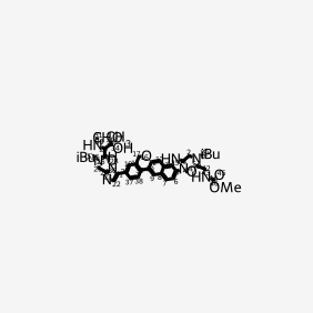 CC[C@H](C)N(Cc1nc2ccc3cc4c(cc3c2[nH]1)OCc1cc(-c2cnc(CN(C(=O)C(NC=O)C(C)O)[C@@H](C)CC)[nH]2)ccc1-4)C(=O)CNC(=O)OC